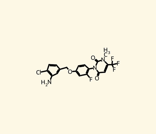 Cn1c(C(F)(F)F)cc(=O)n(-c2ccc(OCc3ccc(Cl)c(N)c3)cc2F)c1=O